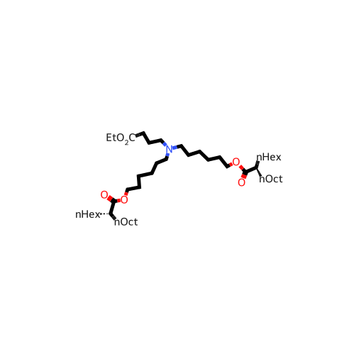 CCCCCCCC[C@H](CCCCCC)C(=O)OCCCCCCN(CCCCCCOC(=O)[C@@H](CCCCCC)CCCCCCCC)CCCC(=O)OCC